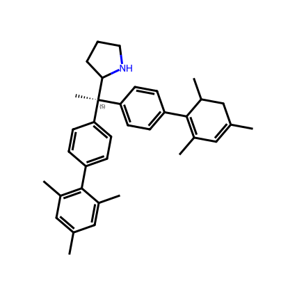 CC1=CC(C)=C(c2ccc([C@@](C)(c3ccc(-c4c(C)cc(C)cc4C)cc3)C3CCCN3)cc2)C(C)C1